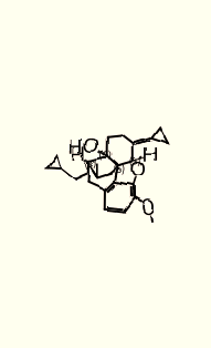 COc1ccc2c3c1O[C@H]1C(=C4CC4)CC[C@@]4(O)[C@@H](C2)N(CC2CC2)CC[C@]314